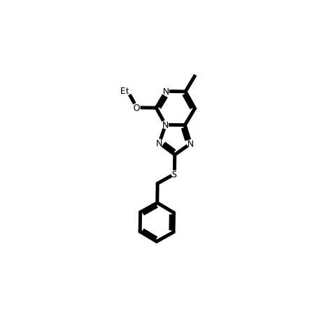 CCOc1nc(C)cc2nc(SCc3ccccc3)nn12